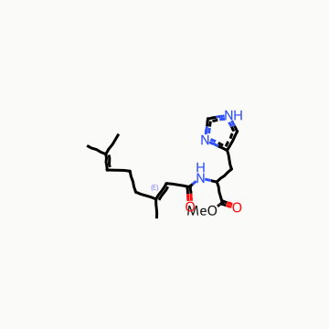 COC(=O)C(Cc1c[nH]cn1)NC(=O)/C=C(\C)CCC=C(C)C